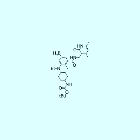 Bc1cc(C(=O)NCc2c(C)cc(C)[nH]c2=O)c(C)c(N(CC)[C@H]2CC[C@H](NC(=O)OC(C)(C)C)CC2)c1